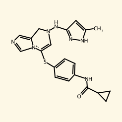 Cc1cc(NN2C=C(Sc3ccc(NC(=O)C4CC4)cc3)[N+]3C=NC=C3C2)n[nH]1